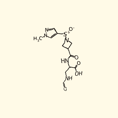 Cn1cc([S+]([O-])N2CC(C(=O)NC(CNC=O)C(=O)O)C2)cn1